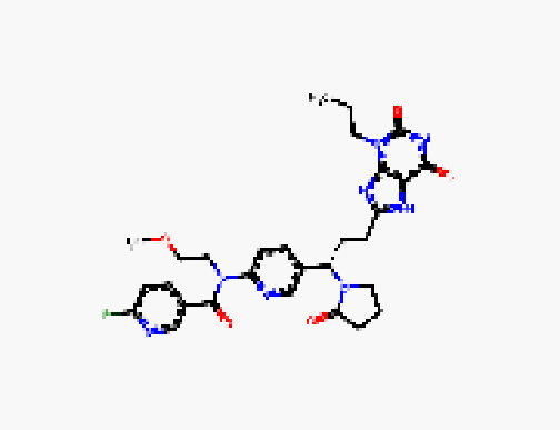 CCCn1c(=O)[nH]c(=O)c2[nH]c(CC[C@@H](c3ccc(N(CCOC)C(=O)c4ccc(F)nc4)nc3)N3CCCC3=O)nc21